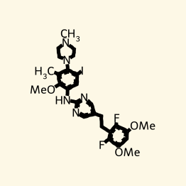 COc1cc(OC)c(F)c(CCc2cnc(Nc3cc(I)c(N4CCN(C)CC4)c(C)c3OC)nc2)c1F